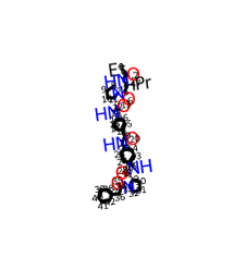 CCC(=O)N[C@H](C(=O)N1CCC[C@H]1C(=O)Nc1ccc(C(=O)Nc2ccc(NC(=O)[C@@H]3CCCN3C(=O)Cc3ccccc3)cc2)cc1)C(C)C